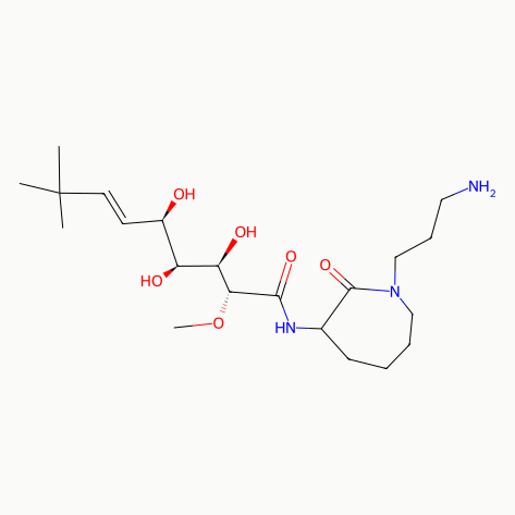 CO[C@@H](C(=O)NC1CCCCN(CCCN)C1=O)[C@H](O)[C@@H](O)[C@H](O)/C=C/C(C)(C)C